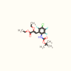 CCOC(=O)C(=Cc1c(F)c(Cl)c(F)c(F)c1NC(=O)OC(C)(C)C)OCC